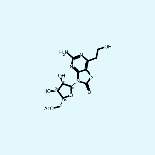 CC(=O)OC[C@H]1O[C@@H](n2c(=O)sc3c(CCO)nc(N)nc32)[C@H](O)[C@@H]1O